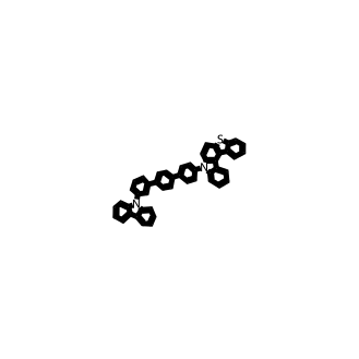 c1cc(-c2ccc(-c3ccc(-n4c5ccccc5c5c6c(ccc54)sc4ccccc46)cc3)cc2)cc(-n2c3ccccc3c3ccccc32)c1